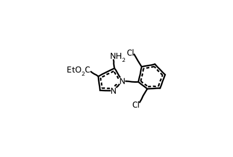 CCOC(=O)c1cnn(-c2c(Cl)cccc2Cl)c1N